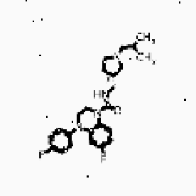 CC(C)CN1CC[C@@H](CNC(=O)N2CCN(c3ccc(F)cc3)c3cc(F)ccc32)C1